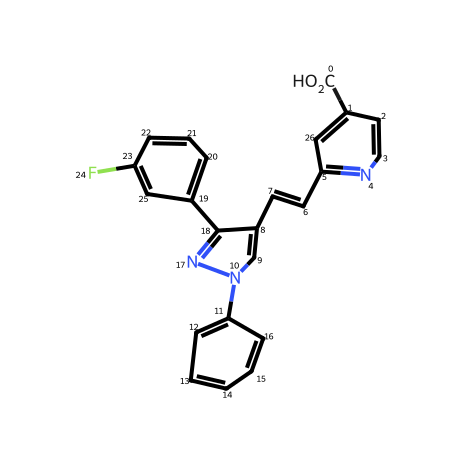 O=C(O)c1ccnc(C=Cc2cn(-c3ccccc3)nc2-c2cccc(F)c2)c1